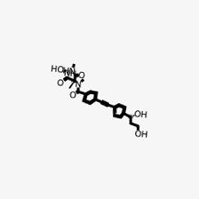 CNC(=O)[C@@](C)(C(=O)NO)N(C)C(=O)c1ccc(C#Cc2ccc([C@H](O)CCO)cc2)cc1